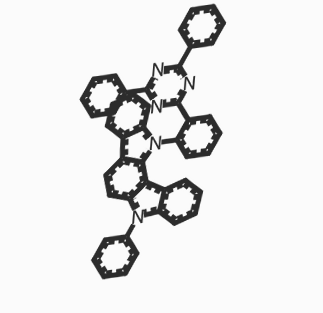 c1ccc(-c2nc(-c3ccccc3)nc(-c3ccccc3-n3c4ccccc4c4ccc5c(c6ccccc6n5-c5ccccc5)c43)n2)cc1